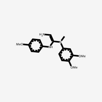 COc1ccc(N/C(=C\N)N(C)c2ccc(OC)c(OC)c2)cc1